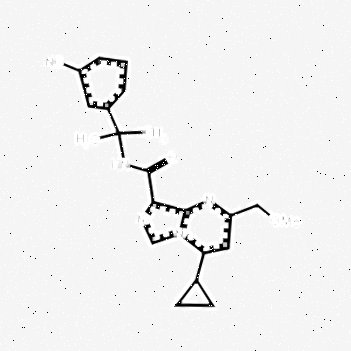 COCc1cc(C2CC2)n2cnc(C(=O)NC(C)(C)c3cccc(C#N)c3)c2n1